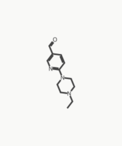 CCN1CCN(c2ccc(C=O)cn2)CC1